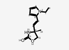 CCn1cccc1/C=C/[C@]1(C)COC(=O)N1